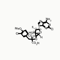 COc1ccc(CC(OC2[C@H]3O[C@@H](n4cnc5c(N)nc(Cl)nc54)[C@@H](F)[C@@]23O)(C(=O)O)C(=O)O)cc1Cl